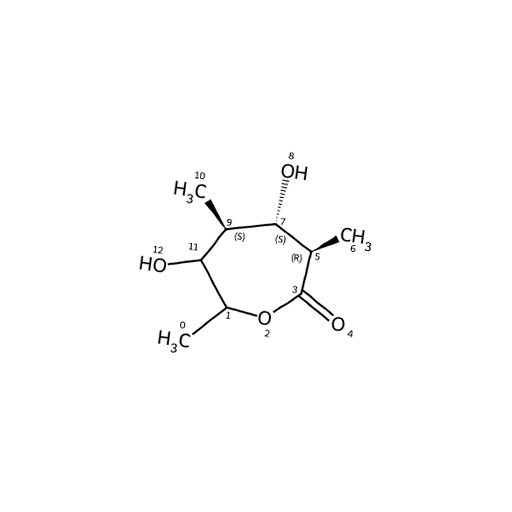 CC1OC(=O)[C@H](C)[C@@H](O)[C@H](C)C1O